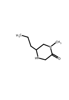 CCCC1CN(C)C(=O)CN1